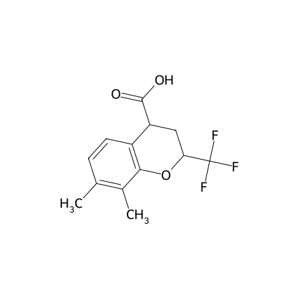 Cc1ccc2c(c1C)OC(C(F)(F)F)CC2C(=O)O